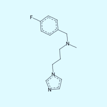 CN(CCCn1ccnc1)Cc1ccc(F)cc1